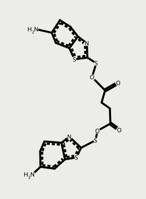 Nc1ccc2nc(SOC(=O)CCC(=O)OSc3nc4ccc(N)cc4s3)sc2c1